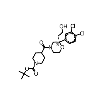 CC(C)(C)OC(=O)N1CCC(C(=O)N2CCO[C@](CCO)(c3ccc(Cl)c(Cl)c3)C2)CC1